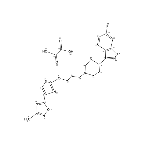 Cc1noc(-c2csc(OCCCN3CCC(c4noc5cc(F)ccc45)CC3)n2)n1.O=C(O)C(=O)O